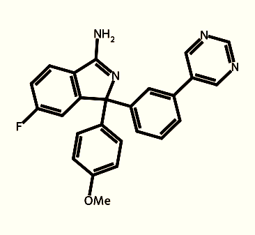 COc1ccc(C2(c3cccc(-c4cncnc4)c3)N=C(N)c3ccc(F)cc32)cc1